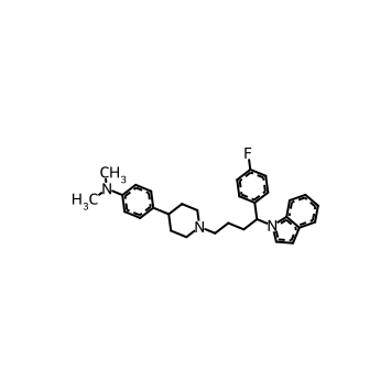 CN(C)c1ccc(C2CCN(CCCC(c3ccc(F)cc3)n3ccc4ccccc43)CC2)cc1